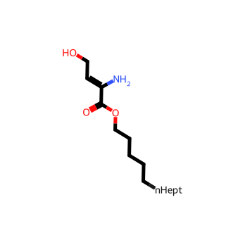 CCCCCCCCCCCCOC(=O)C(N)=CCO